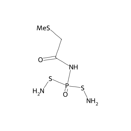 CSCC(=O)NP(=O)(SN)SN